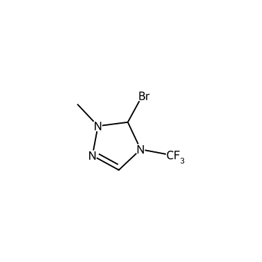 CN1N=CN(C(F)(F)F)C1Br